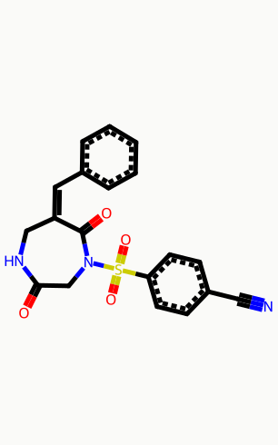 N#Cc1ccc(S(=O)(=O)N2CC(=O)NCC(=Cc3ccccc3)C2=O)cc1